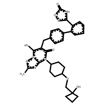 CCCc1c(Cc2ccc(-c3ccccc3-c3noc(=O)[nH]3)cc2)c(=O)n(C2CCC(OCC3(O)CCC3)CC2)c2nc(C)nn12